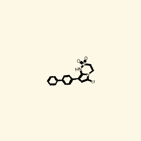 O=S1(=O)CCn2c(Cl)cc(-c3ccc(-c4ccccc4)cc3)c2N1